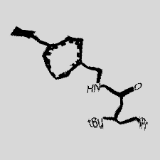 C#Cc1ccc(CNC(=O)C(C(C)C)C(C)(C)C)cc1